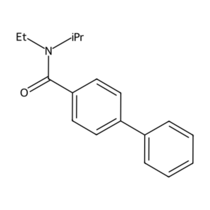 CCN(C(=O)c1ccc(-c2ccccc2)cc1)C(C)C